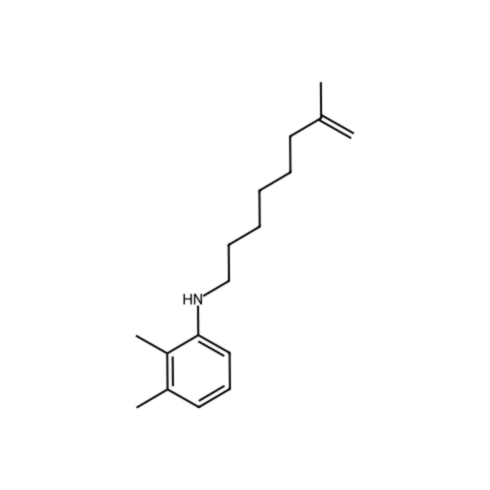 C=C(C)CCCCCCNc1cccc(C)c1C